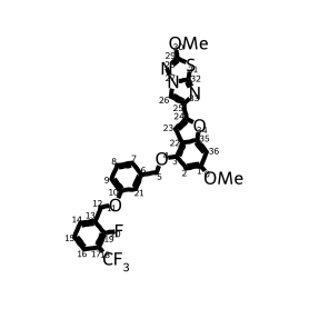 COc1cc(OCc2cccc(OCc3cccc(C(F)(F)F)c3F)c2)c2cc(-c3cn4nc(OC)sc4n3)oc2c1